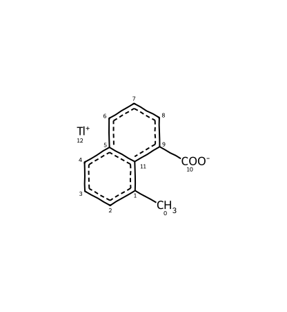 Cc1cccc2cccc(C(=O)[O-])c12.[Tl+]